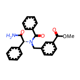 COC(=O)c1cccc(CN(C(=O)c2ccccc2)[C@@H](C(N)=O)c2ccccc2)c1